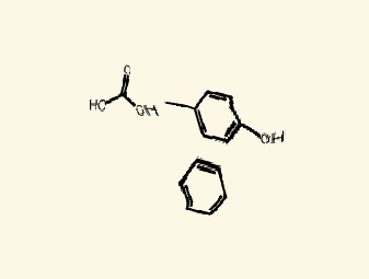 Cc1ccc(O)cc1.O=C(O)O.c1ccccc1